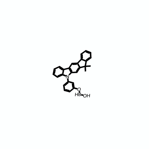 CC1(C)c2ccccc2-c2cc3c4ccccc4n(-c4cccc(OBO)c4)c3cc21